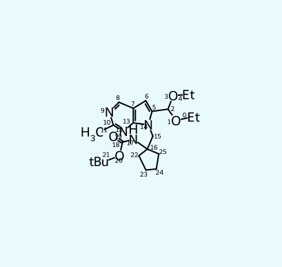 CCOC(OCC)c1cc2cnc(C)nc2n1CC1(NC(=O)OC(C)(C)C)CCCC1